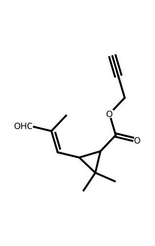 C#CCOC(=O)C1C(C=C(C)C=O)C1(C)C